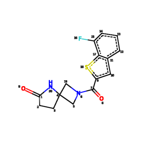 O=C1CCC2(CN(C(=O)c3cc4cccc(F)c4s3)C2)N1